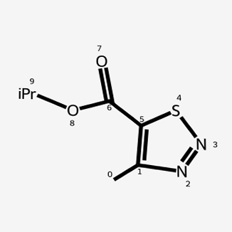 Cc1nnsc1C(=O)OC(C)C